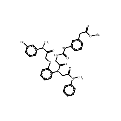 CN(C(=O)COc1ccccc1N(CC(=O)N(C)c1ccccc1)C(=O)CNC(=O)Nc1cccc(CC(=O)OC(C)(C)C)c1)c1cccc(Br)c1